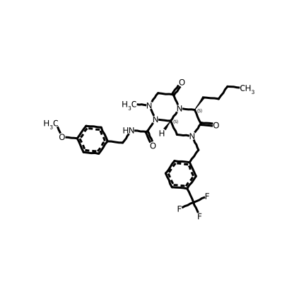 CCCC[C@H]1C(=O)N(Cc2cccc(C(F)(F)F)c2)C[C@H]2N1C(=O)CN(C)N2C(=O)NCc1ccc(OC)cc1